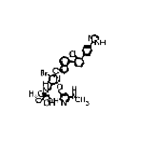 CNc1cncc(COc2nc(O[C@H]3CCc4c(-c5cccc(-c6ccc(C7=NCCN7)cc6)c5Cl)cccc43)c(Br)cc2CN[C@@](C)(CO)C(=O)O)c1